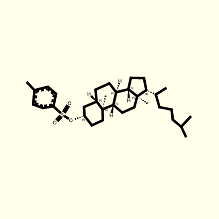 Cc1ccc(S(=O)(=O)O[C@H]2CC[C@@]3(C)[C@@H](CC[C@@H]4[C@@H]3CC[C@]3(C)[C@@H](C(C)CCCC(C)C)CC[C@@H]43)C2)cc1